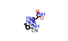 N#CC(Nc1nc(NC2CC2)n2ncc(/C=C3\CC(=O)NC3=O)c2n1)c1ccccc1